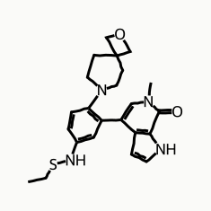 CCSNc1ccc(N2CCC3(CC2)COC3)c(-c2cn(C)c(=O)c3[nH]ccc23)c1